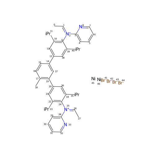 CC=[N+](c1ccccn1)c1c(C(C)C)cc(-c2ccc(C)c(-c3cc(C(C)C)c([N+](=CC)c4ccccn4)c(C(C)C)c3)c2)cc1C(C)C.[Br-].[Br-].[Br-].[Br-].[Ni].[Ni]